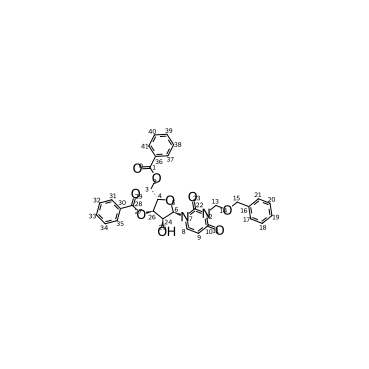 O=C(OC[C@@H]1O[C@@H](n2ccc(=O)n(COCc3ccccc3)c2=O)[C@@H](O)[C@H]1OC(=O)c1ccccc1)c1ccccc1